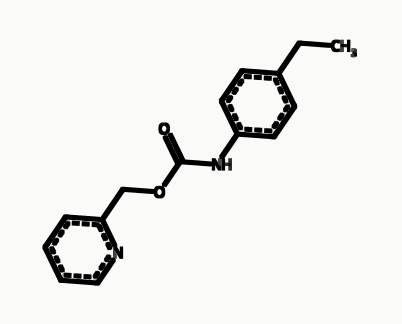 CCc1ccc(NC(=O)OCc2ccccn2)cc1